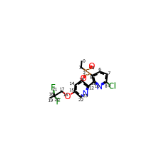 CCS(=O)(=O)c1ccc(Cl)nc1-c1ccc(OCC(C)(F)F)cn1